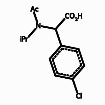 CC(=O)N(C(C)C)C(C(=O)O)c1ccc(Cl)cc1